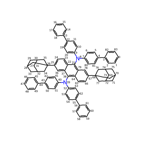 c1ccc(-c2ccc(N(c3ccc(-c4ccccc4)cc3)c3c4ccc(C56CC7CC(CC(C7)C5)C6)cc4c(N(c4ccc(-c5ccccc5)cc4)c4ccc(-c5ccccc5)cc4)c4ccc(C56CC7CC(CC(C7)C5)C6)cc34)cc2)cc1